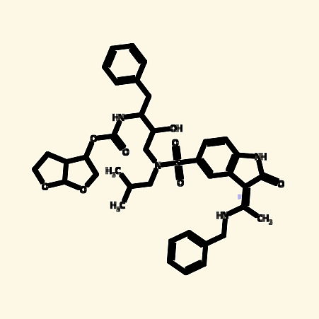 C/C(NCc1ccccc1)=C1\C(=O)Nc2ccc(S(=O)(=O)N(CC(C)C)CC(O)C(Cc3ccccc3)NC(=O)OC3COC4OCCC34)cc21